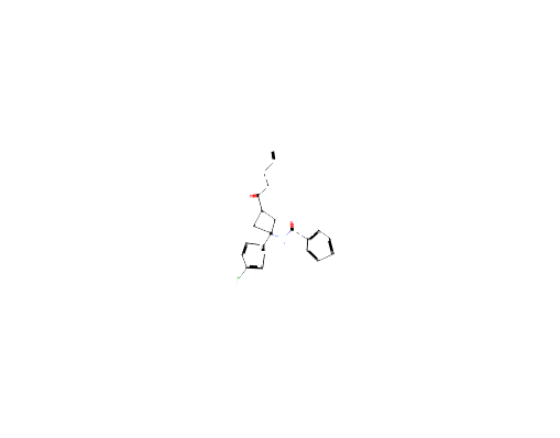 C=CCCC(=O)C1CC(NC(=O)c2ccccc2)(c2ccc(Cl)cc2)C1